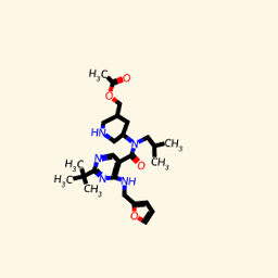 CC(=O)OCC1CNCC(N(CC(C)C)C(=O)c2cnc(C(C)(C)C)nc2NCc2ccco2)C1